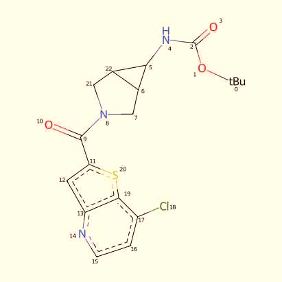 CC(C)(C)OC(=O)NC1C2CN(C(=O)c3cc4nccc(Cl)c4s3)CC21